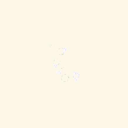 COc1cncc(-c2ccnc(C(=O)Nc3cccc(-c4nncn4C)c3)c2)c1